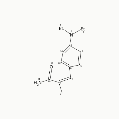 CCN(CC)c1ccc(C=C(C)C(N)=O)cc1